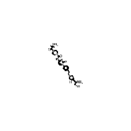 CC(C)(N)C(=O)N1CCN(C(=O)Nc2ccn(-c3ccc(CCN4CC5C(C(N)CO)[C@H]5C4)cc3)c(=O)n2)CC1